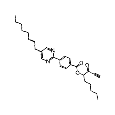 C#CC(=O)C(CCCCC)OC(=O)c1ccc(-c2ncc(CCCCCCCC)cn2)cc1